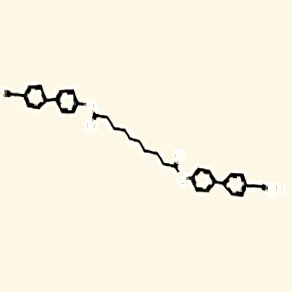 C#Cc1ccc(-c2ccc(OC(=O)CCCCCCCCC(=O)Oc3ccc(-c4ccc(C#N)cc4)cc3)cc2)cc1